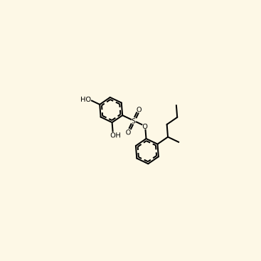 CCCC(C)c1ccccc1OS(=O)(=O)c1ccc(O)cc1O